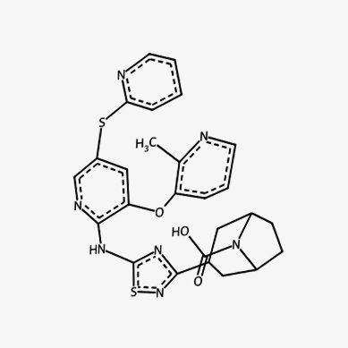 Cc1ncccc1Oc1cc(Sc2ccccn2)cnc1Nc1nc(C2CC3CCC(C2)N3C(=O)O)ns1